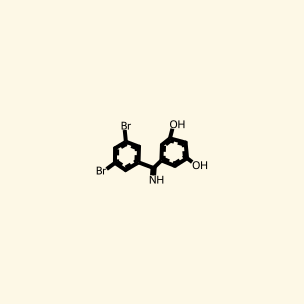 N=C(c1cc(O)cc(O)c1)c1cc(Br)cc(Br)c1